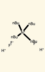 CCCC[N+](CCCC)(CCCC)CCCC.[F-].[F-].[F-].[H+].[H+]